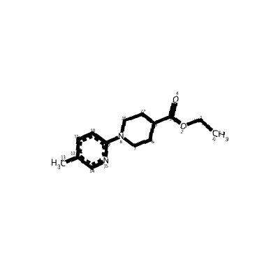 CCOC(=O)C1CCN(c2ccc(C)cn2)CC1